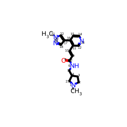 CN1CCC(CNC(=O)/C=C/c2cnccc2-c2cnn(C)c2)C1